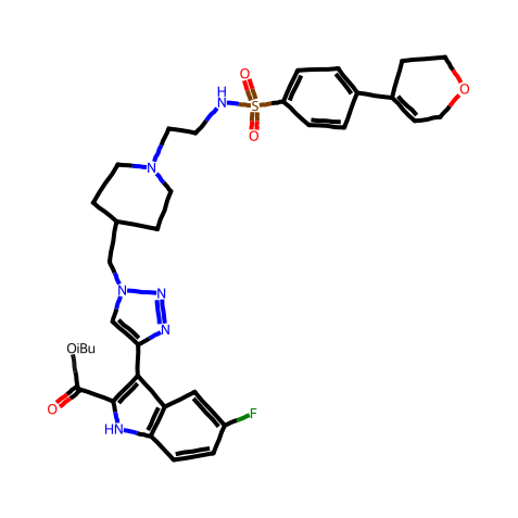 CC(C)COC(=O)c1[nH]c2ccc(F)cc2c1-c1cn(CC2CCN(CCNS(=O)(=O)c3ccc(C4=CCOCC4)cc3)CC2)nn1